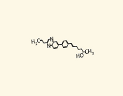 C=CCc1cnc2cc(-c3ccc(C=CCCCC(C)O)cc3)ccc2n1